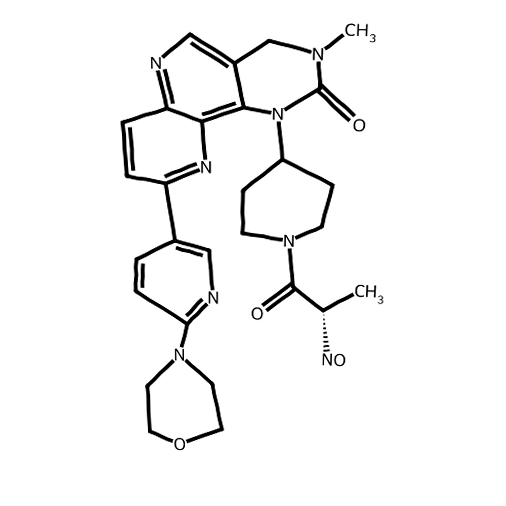 C[C@H](N=O)C(=O)N1CCC(N2C(=O)N(C)Cc3cnc4ccc(-c5ccc(N6CCOCC6)nc5)nc4c32)CC1